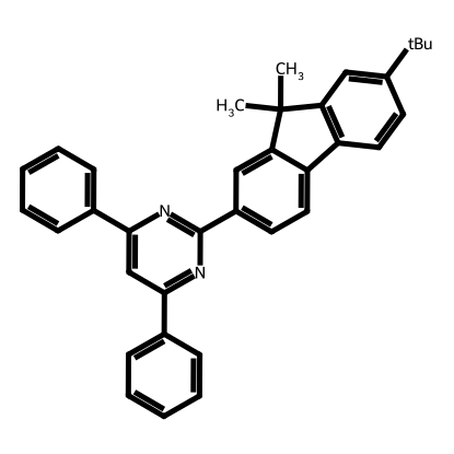 CC(C)(C)c1ccc2c(c1)C(C)(C)c1cc(-c3nc(-c4ccccc4)cc(-c4ccccc4)n3)ccc1-2